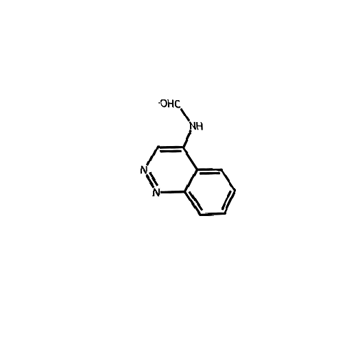 O=[C]Nc1cnnc2ccccc12